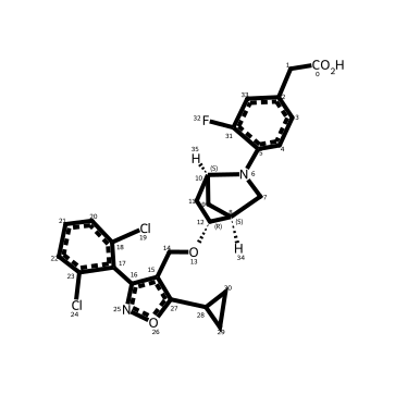 O=C(O)Cc1ccc(N2C[C@@H]3C[C@H]2C[C@H]3OCc2c(-c3c(Cl)cccc3Cl)noc2C2CC2)c(F)c1